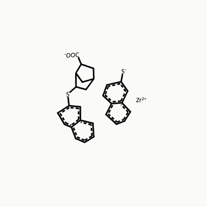 O=C([O-])C1CC2CC(Sc3ccc4ccccc4c3)C1C2.[S-]c1ccc2ccccc2c1.[Zr+2]